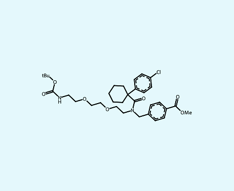 COC(=O)c1ccc(CN(CCOCCOCCNC(=O)OC(C)(C)C)C(=O)C2(c3ccc(Cl)cc3)CCCCC2)cc1